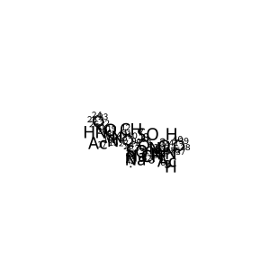 CC(=O)C(N=Nc1cc(S(=O)(=O)O)c(-c2cc(C)c(N=NC(C(C)=O)C(=O)Nc3ccccc3)cc2S(=O)(=O)O)cc1C)C(=O)Nc1ccccc1.[Na].[Na]